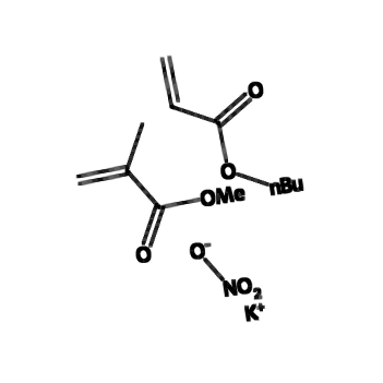 C=C(C)C(=O)OC.C=CC(=O)OCCCC.O=[N+]([O-])[O-].[K+]